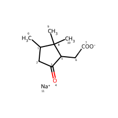 CC1CC(=O)C(CC(=O)[O-])C1(C)C.[Na+]